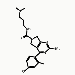 Cc1cc(Cl)ccc1-c1nc(N)nc2c1CN(C(=O)NCCCN(C)C)C2